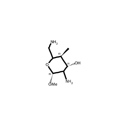 CO[C@@H]1OC(CN)[C@@H](C)[C@H](O)C1N